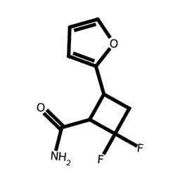 NC(=O)C1C(c2ccco2)CC1(F)F